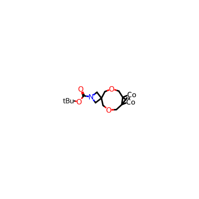 CC(C)(C)OC(=O)N1CC2(COC[C]34[Co]5[Co]3[C]54COC2)C1